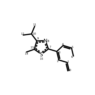 C=C/C=C(\C=C/C)c1nc(C(C)C)c(C)s1